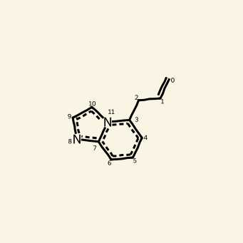 C=CCc1cccc2n[c]cn12